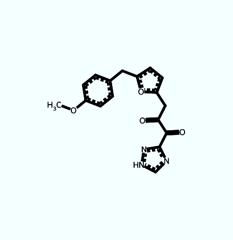 COc1ccc(Cc2ccc(CC(=O)C(=O)c3nc[nH]n3)o2)cc1